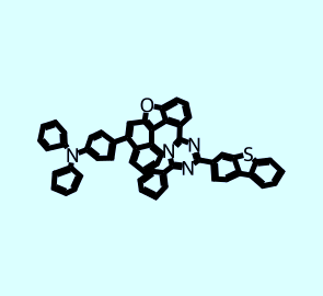 c1ccc(-c2nc(-c3ccc4c(c3)sc3ccccc34)nc(-c3cccc4oc5cc(-c6ccc(N(c7ccccc7)c7ccccc7)cc6)c6ccccc6c5c34)n2)cc1